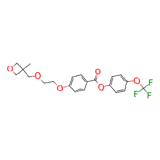 CC1(COCCOc2ccc(C(=O)Oc3ccc(OC(F)(F)F)cc3)cc2)COC1